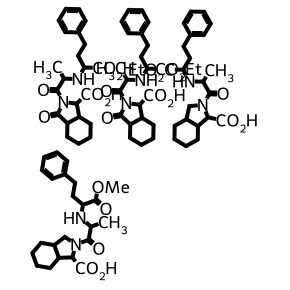 CC(NC(CCc1ccccc1)C(=O)O)C(=O)N1C(=O)C2CCCCC2C1C(=O)O.CCOC(=O)C(CCc1ccccc1)NC(C)C(=O)N1C(=O)C2CCCCC2C1C(=O)O.CCOC(=O)C(CCc1ccccc1)NC(C)C(=O)N1CC2CCCCC2C1C(=O)O.COC(=O)C(CCc1ccccc1)NC(C)C(=O)N1CC2CCCCC2C1C(=O)O